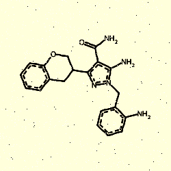 NC(=O)c1c(C2COc3ccccc3C2)nn(Cc2ccccc2N)c1N